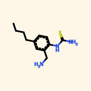 CCCCc1ccc(NC(N)=S)c(CN)c1